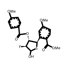 COC(=O)c1ccc(OC)cc1[C@H]1SC(O)[C@@H](F)[C@@H]1OC(=O)c1ccc(OC)cc1